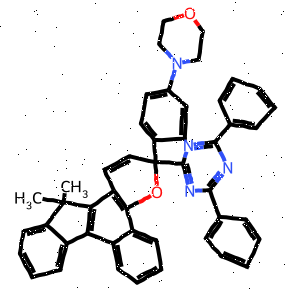 CC1(C)c2ccccc2-c2c1c1c(c3ccccc23)OC(c2ccc(N3CCOCC3)cc2)(c2nc(-c3ccccc3)nc(-c3ccccc3)n2)C=C1